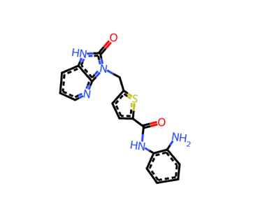 Nc1ccccc1NC(=O)c1ccc(Cn2c(=O)[nH]c3cccnc32)s1